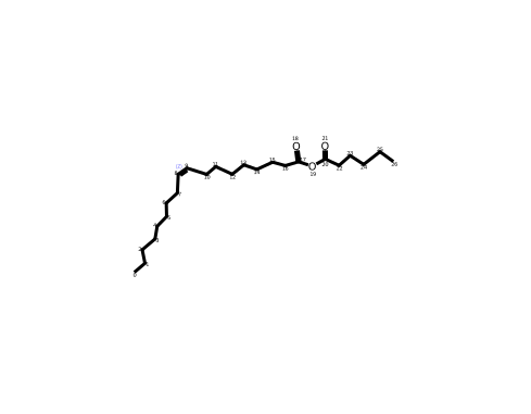 CCCCCCCC/C=C\CCCCCCCC(=O)OC(=O)CCCCC